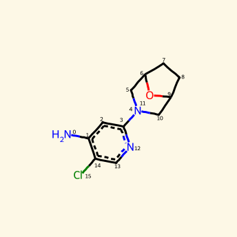 Nc1cc(N2CC3CCC(C2)O3)ncc1Cl